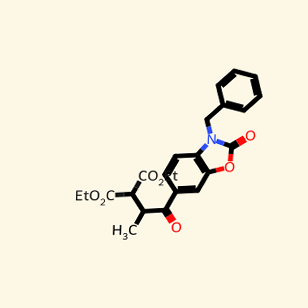 CCOC(=O)C(C(=O)OCC)C(C)C(=O)c1ccc2c(c1)oc(=O)n2Cc1ccccc1